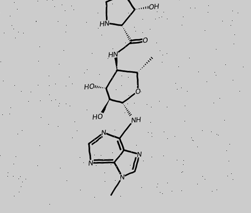 C[C@@H]1O[C@H](Nc2ncnc3c2ncn3C)[C@@H](O)[C@H](O)[C@H]1NC(=O)[C@@H]1NCC[C@@H]1O